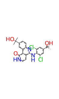 C[C@@H](O)c1cc(Cl)c(Nc2nc3ccc(C(C)(C)O)cc3c3c(=O)[nH]ccc23)c(Cl)c1